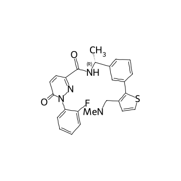 CNCc1ccsc1-c1cccc([C@@H](C)NC(=O)c2ccc(=O)n(-c3ccccc3F)n2)c1